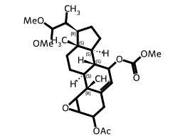 COC(=O)OC1C=C2CC(OC(C)=O)C3OC3[C@]2(C)[C@H]2CC[C@]3(C)[C@@H](C(C)C(OC)OC)CC[C@H]3[C@H]12